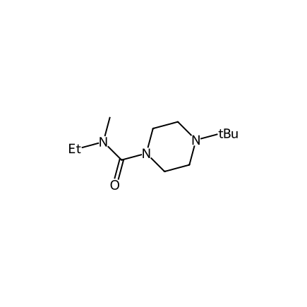 CCN(C)C(=O)N1CCN(C(C)(C)C)CC1